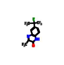 O=c1[nH]c2ccc(C(F)(C(F)(F)F)C(F)(F)F)cc2nc1C(F)(F)F